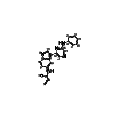 C=CC(=O)Nc1ccc2ncn(-c3cncc(Nc4ccccc4)n3)c2c1